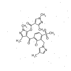 Cc1cnn(Cc2c(S(C)(=O)=O)ccc(C(=O)c3c(C)nn(C)c3OC(=O)c3cn(C)nc3C)c2Cl)c1